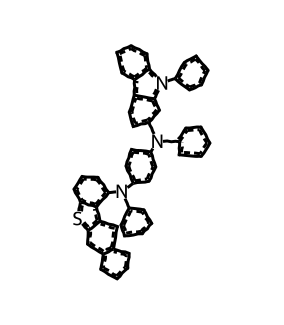 c1ccc(N(c2ccc(N(c3ccccc3)c3cccc4sc5cc6ccccc6cc5c34)cc2)c2ccc3c4ccccc4n(-c4ccccc4)c3c2)cc1